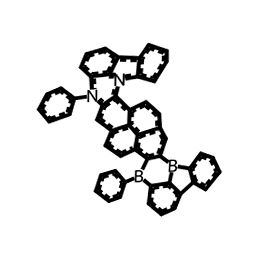 c1ccc(B2c3cccc4c3B(c3ccccc3-4)c3cc4ccc5c6c(ccc(c32)c46)cc2c5n3c4ccccc4c4cccc(c43)n2-c2ccccc2)cc1